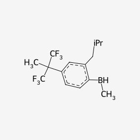 CBc1ccc(C(C)(C(F)(F)F)C(F)(F)F)cc1CC(C)C